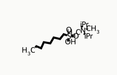 CC(C)[N+](C)(C)C(C)C.CCCCCCCCS(=O)(=O)O